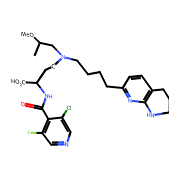 COC(C)CN(CCCCc1ccc2c(n1)NCCC2)CCC(NC(=O)c1c(F)cncc1Cl)C(=O)O